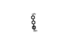 CCCC1CCC(C2CCC(C34CCC(CCC)(CC3)CC4)CC2)CC1